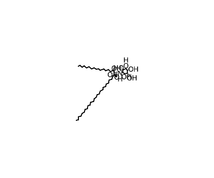 CCCCCCCCCCCCCCCCCCCCCCCCCC(=O)[C@@H](CN[C@@H]1[C@H](O)[C@@H](O)[C@@H](O)[C@@H](CO)[C@H]1O)[C@H](O)[C@H](O)CCCCCCCCCCCCCC